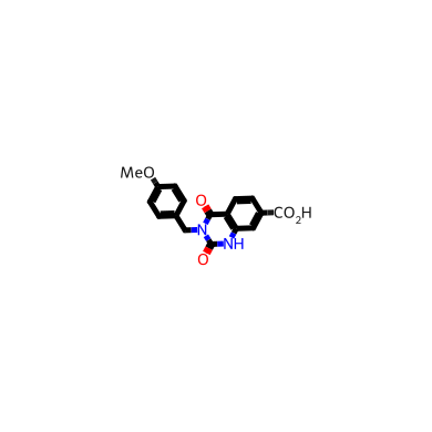 COc1ccc(Cn2c(=O)[nH]c3cc(C(=O)O)ccc3c2=O)cc1